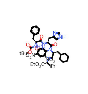 CCOC(=O)[C@@H](N=C[C@H](CC1CCCCC1)N(C(=O)[C@H](Cc1c[nH]cn1)NC(=O)[C@H](Cc1ccccc1)[NH+]([O-])C(=O)OC(C)(C)C)c1ccc([N+](=O)[O-])cc1[N+](=O)[O-])C(C)C